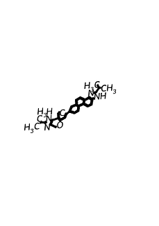 CC(C)c1nc2c([nH]1)-c1ccc(-c3ccc4c(ccc5c4ccc4[nH]c(C(C)C)nc45)c3)cc1OC2